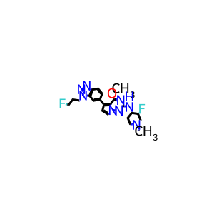 COc1nc(N[C@H]2CCN(C)C[C@H]2F)nn2ccc(-c3ccc4nnn(CCCF)c4c3)c12